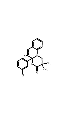 CC1(C)CN2c3ccccc3C=C(F)C2(c2cccc(Cl)c2)NC1=O